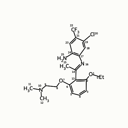 CCOc1cccc(OCCN(C)C)c1/C(C)=N/c1cc(Cl)c(C(F)(F)F)cc1N